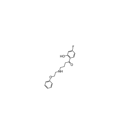 O=C(CCCNCCOc1ccccc1)c1ccc(F)cc1O